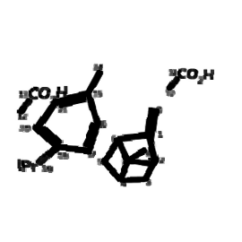 C=C1CCC2CC1C2(C)C.CC(=O)O.CC(=O)O.Cc1ccc(C(C)C)cc1